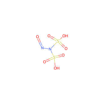 O=NN(S(=O)(=O)O)S(=O)(=O)O